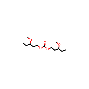 CCC(CCOC(=O)OCCC(CC)OC)OC